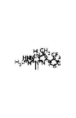 Cc1nc(Nc2nc(-c3ccccc3C(F)(F)F)nc(C)c2C)n[nH]1